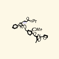 CCCC(=O)/C=C/c1cn(-c2ccccc2)nc1OCc1ccc(OCc2nc(-c3ccco3)oc2C)c(OC)c1